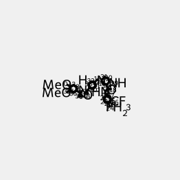 COc1ccc(C2(NC(=O)c3ccc(CN4C=C(C(=O)Nc5ccc(P)c(C(F)(F)F)c5)C(=N)CC4)cc3)CC2)cc1OC